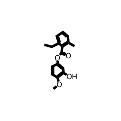 CCc1cccc(C)c1C(=O)Oc1ccc(OC)c(O)c1